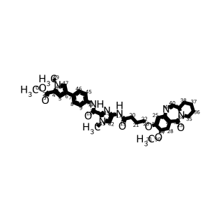 COC(=O)c1cc(-c2ccc(NC(=O)c3nc(NC(=O)CCCOC4=CC5=C(C[C@@H]4OC)C(=O)N4CCCCC4C=N5)cn3C)cc2)cn1C